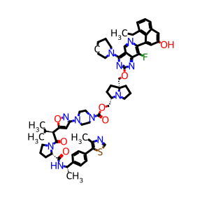 CCc1cccc2cc(O)cc(-c3ncc4c(N5CCCCCC5)nc(OC[C@]56CCCN5[C@H](COC(=O)N5CCN(c7cc([C@@H](C(=O)N8CCC[C@H]8C(=O)N[C@@H](C)c8ccc(-c9scnc9C)cc8)C(C)C)on7)CC5)CC6)nc4c3F)c12